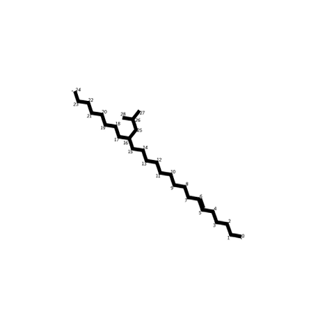 [CH2]CCCCC=CCCCCCCCCCC(CCCCCCC[CH2])CC(C)C